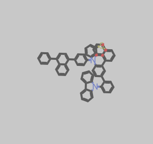 c1ccc(-c2ccc(-c3ccc(N(c4ccccc4)c4ccc(-c5ccccc5-n5c6ccccc6c6ccccc65)cc4-c4cccc5sc6ccccc6c45)cc3)c3ccccc23)cc1